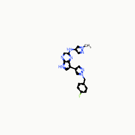 Cn1cc(Nc2cnc3[nH]cc(-c4cnn(Cc5ccc(F)cc5)c4)c3n2)cn1